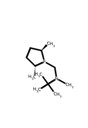 C[C@@H]1CC[C@@H](C)P1CN(C)C(C)(C)C